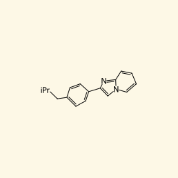 CC(C)Cc1ccc(-c2cn3ccccc3n2)cc1